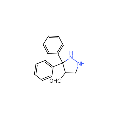 O=CC1CNNC1(c1ccccc1)c1ccccc1